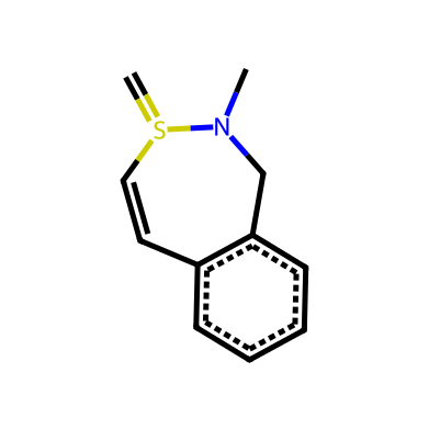 C=S1C=Cc2ccccc2CN1C